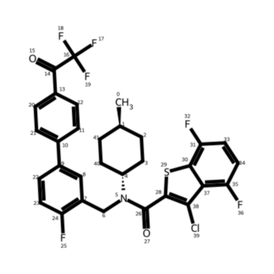 C[C@H]1CC[C@H](N(Cc2cc(-c3ccc(C(=O)C(F)(F)F)cc3)ccc2F)C(=O)c2sc3c(F)ccc(F)c3c2Cl)CC1